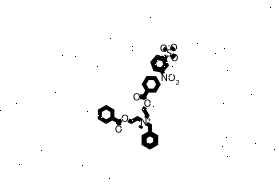 C[N+](CCOC(=O)C1CCCCC1)(CCOC(=O)C1CCCCC1)Cc1ccccc1.O=[N+]([O-])c1cccc(S(=O)(=O)[O-])c1